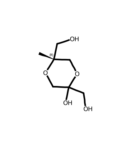 C[C@@]1(CO)COC(O)(CO)CO1